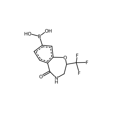 O=C1NCC(C(F)(F)F)Oc2cc(B(O)O)ccc21